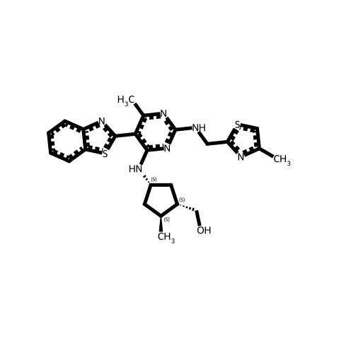 Cc1csc(CNc2nc(C)c(-c3nc4ccccc4s3)c(N[C@@H]3C[C@H](CO)[C@@H](C)C3)n2)n1